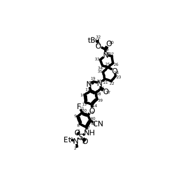 CCN(C)S(=O)(=O)Nc1ccc(F)c(Oc2ccc3ncn(C4CCOC5(CCN(C(=O)OC(C)(C)C)CC5)C4)c(=O)c3c2)c1C#N